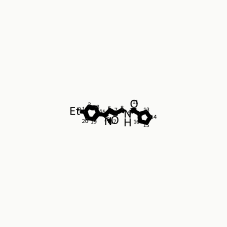 CCc1ccc(-c2cc(CNC(=O)C3CCCC3)on2)cc1